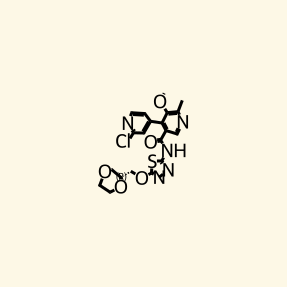 COc1c(C)ncc(C(=O)Nc2nnc(OC[C@H]3COCCO3)s2)c1-c1ccnc(Cl)c1